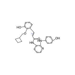 O=C(/C=C/c1cccc(O)c1OCC1CCC1)Nc1cccnc1Nc1ccc(O)cc1